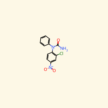 NC(=O)N(c1ccccc1)c1ccc([N+](=O)[O-])cc1Cl